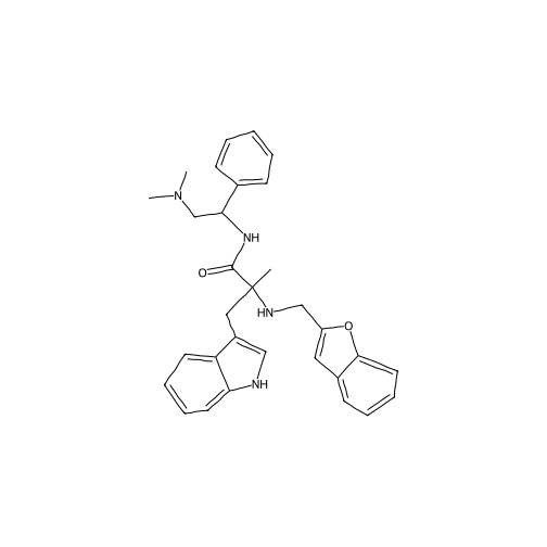 CN(C)CC(NC(=O)C(C)(Cc1c[nH]c2ccccc12)NCc1cc2ccccc2o1)c1ccccc1